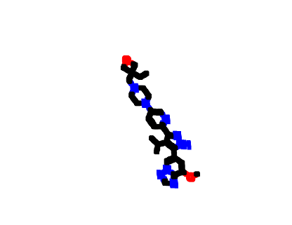 CCC1(CN2CCN(c3ccc(-c4n[nH]c(-c5cc(OC)c6ncnn6c5)c4C(C)C)nc3)CC2)COC1